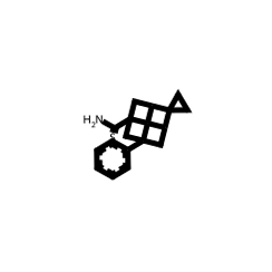 NC(=S)C12CC3C4(CC4)C4CC(c5ccccc5)(C1)C342